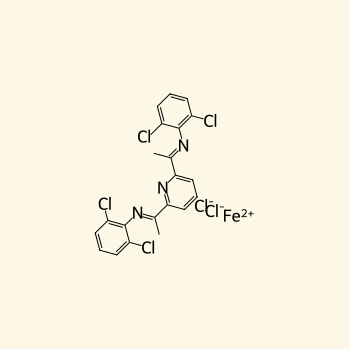 C/C(=N\c1c(Cl)cccc1Cl)c1cccc(/C(C)=N/c2c(Cl)cccc2Cl)n1.[Cl-].[Cl-].[Fe+2]